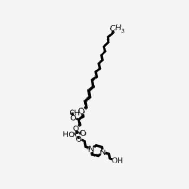 CCCCCCCCCCCCCCCCCCOCC(COP(=O)(O)OCCN1CCN(CCO)CC1)OC